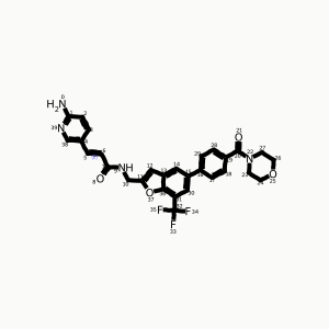 Nc1ccc(/C=C/C(=O)NCc2cc3cc(-c4ccc(C(=O)N5CCOCC5)cc4)cc(C(F)(F)F)c3o2)cn1